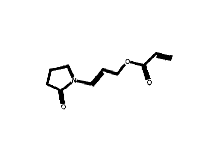 C=CC(=O)OCC=CN1CCCC1=O